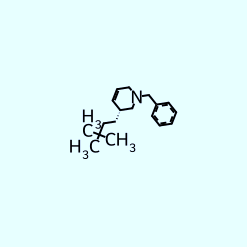 CC(C)(C)CC[C@@H]1C=CCN(Cc2ccccc2)C1